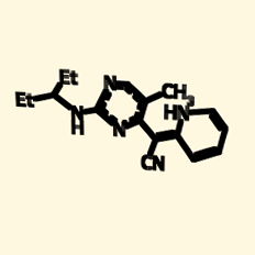 CCC(CC)Nc1ncc(C)c(C(C#N)=C2C=CC=CN2)n1